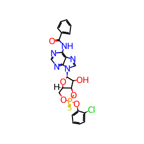 O=C(Nc1ncnc2c1ncn2[C@@H]1O[C@@H]2COP(=S)(Oc3ccccc3Cl)OC2C1O)c1ccccc1